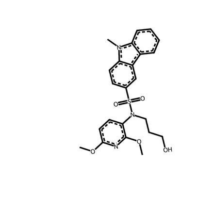 COc1ccc(N(CCCO)S(=O)(=O)c2ccc3c(c2)c2ccccc2n3C)c(OC)n1